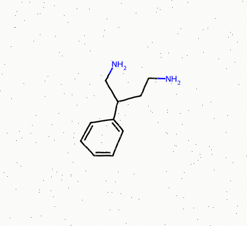 NCCC(CN)c1ccccc1